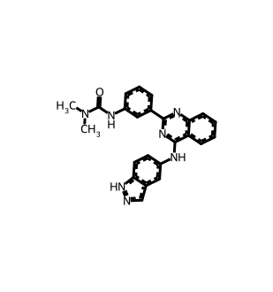 CN(C)C(=O)Nc1cccc(-c2nc(Nc3ccc4[nH]ncc4c3)c3ccccc3n2)c1